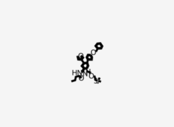 CCCC(=O)Nc1nn(COCC[Si](C)(C)C)c2cc(-c3ccc(OCc4ccccc4)cc3)c(-c3ccoc3)cc12